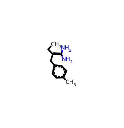 CCC(Cc1ccc(C)cc1)=C(N)N